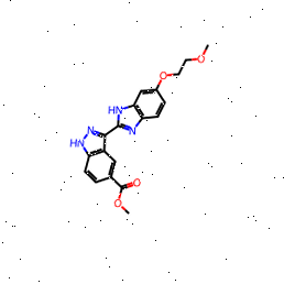 COCCOc1ccc2nc(-c3n[nH]c4ccc(C(=O)OC)cc34)[nH]c2c1